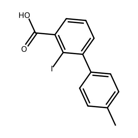 Cc1ccc(-c2cccc(C(=O)O)c2I)cc1